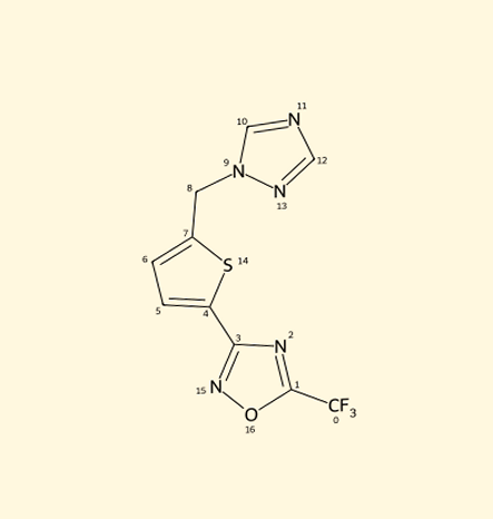 FC(F)(F)c1nc(-c2ccc(Cn3cncn3)s2)no1